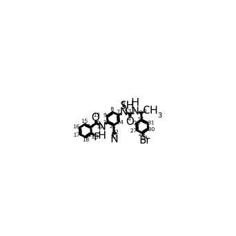 CC(NC(=O)N(S)c1ccc(NC(=O)c2ccccc2F)c(C#N)c1)c1ccc(Br)cc1